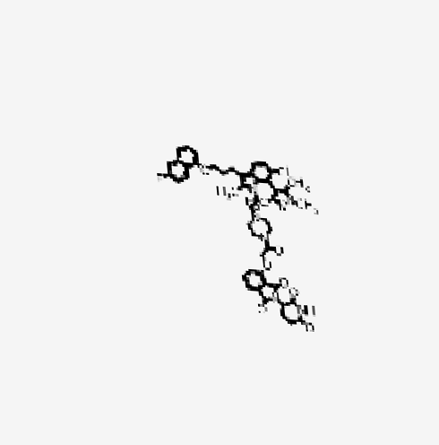 Cc1nn(C)c(C)c1-c1c(Cl)ccc2c(CCCOc3cccc4cc(F)ccc34)c(C)n(CCN3CCN(C(=O)COc4cccc5c4C(=O)N(C4CCC(=O)NC4=O)C5=O)CC3)c12